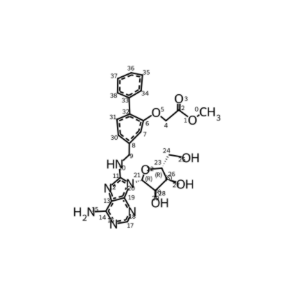 COC(=O)COc1cc(CNc2nc3c(N)ncnc3n2[C@@H]2O[C@H](CO)[C@@H](O)[C@H]2O)ccc1-c1ccccc1